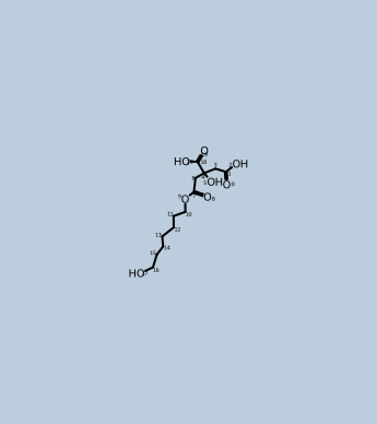 O=C(O)CC(O)(CC(=O)OCCCCCCCO)C(=O)O